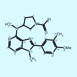 CCC(=O)N1CCC(N(C)c2ncnc3c2nc(-c2cnc(OC)c(C)c2)n3C)C1